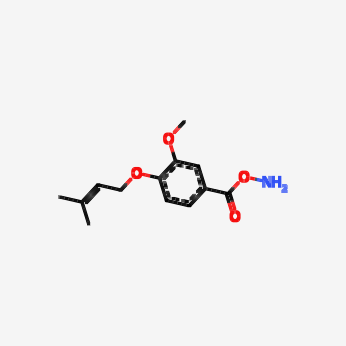 COc1cc(C(=O)ON)ccc1OCC=C(C)C